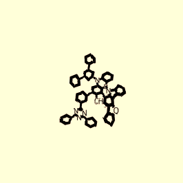 Cc1c(-c2cccc(-c3nc(-c4ccccc4)nc(-c4ccccc4)n3)c2)cc2c3c1-c1cc4c5ccccc5oc4c4c5ccccc5n(c14)B3c1ccccc1N2c1cc(-c2ccccc2)cc(-c2ccccc2)c1